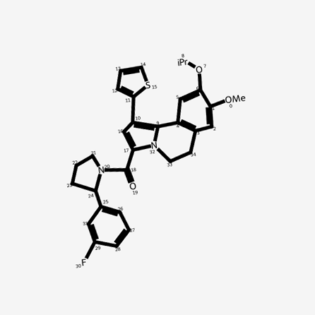 COc1cc2c(cc1OC(C)C)-c1c(-c3cccs3)cc(C(=O)N3CCCC3c3cccc(F)c3)n1CC2